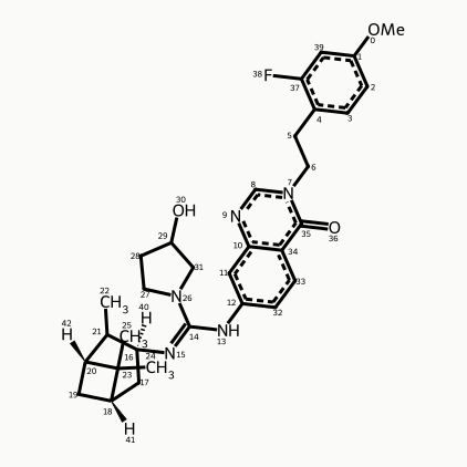 COc1ccc(CCn2cnc3cc(N/C(=N/[C@H]4C[C@@H]5C[C@H](C4C)C5(C)C)N4CCC(O)C4)ccc3c2=O)c(F)c1